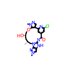 C[C@@H]1C[C@H](O)COc2c(cnn2C)-c2cc(cc(Cl)n2)C(=O)/N=C2\Nc3cn(C)nc3N2C1